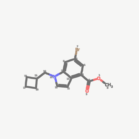 COC(=O)c1cc(Br)cc2c1ccn2CC1CCC1